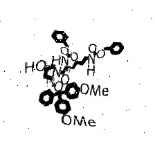 COc1ccc(C(OC[C@@H]2C[C@@H](O)CN2C(=O)[C@H](CCCCNC(=O)OCc2ccccc2)NC(=O)OCc2ccccc2)(c2ccccc2)c2ccc(OC)cc2)cc1